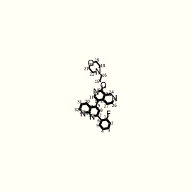 Fc1ccccc1-c1cc(-c2cnc(OCCN3CCOCC3)c3cnccc23)c2cccnc2n1